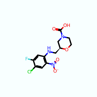 O=C(O)N1CCO[C@@H](CNc2cc(F)c(Cl)cc2[N+](=O)[O-])C1